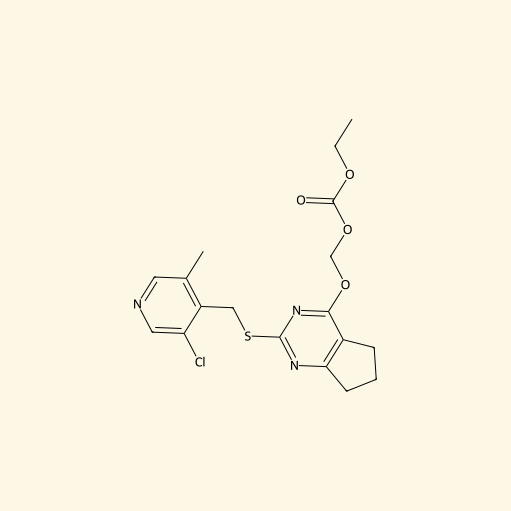 CCOC(=O)OCOc1nc(SCc2c(C)cncc2Cl)nc2c1CCC2